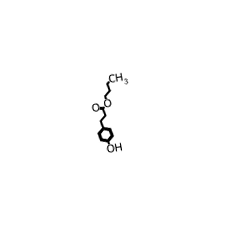 CCCCOC(=O)CCc1ccc(O)cc1